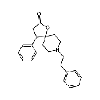 O=C1CC(c2ccccc2)C2(CCN(CCc3ccccc3)CC2)O1